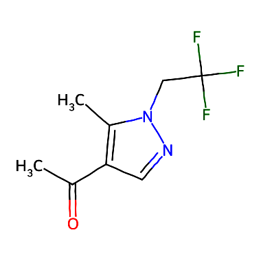 CC(=O)c1cnn(CC(F)(F)F)c1C